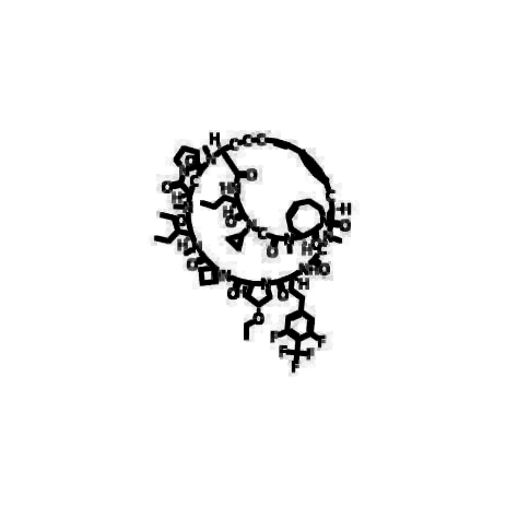 CCO[C@@H]1C[C@H]2C(=O)NC3(CCC3)C(=O)N(C)[C@@H](C(CC)CC)C(=O)N(C)[C@H](C(=O)N3CCCC3)CC(=O)N(C)[C@H]3CCC/C=C\c4ccc(cc4)C[C@@H](C(=O)N(C)CC(=O)N[C@@H](CCc4cc(F)c(C(F)(F)F)c(F)c4)C(=O)N2C1)N1CC/C=C\C[C@@H](C1=O)N(C)C(=O)CN(C1CC1)C(=O)[C@H]([C@@H](C)CC)NC3=O